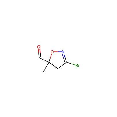 CC1(C=O)CC(Br)=NO1